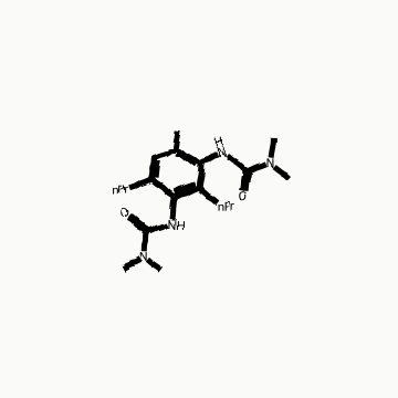 CCCc1cc(C)c(NC(=O)N(C)C)c(CCC)c1NC(=O)N(C)C